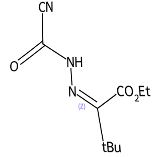 CCOC(=O)/C(=N\NC(=O)C#N)C(C)(C)C